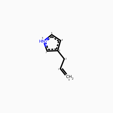 C=CCc1cc[nH]c1